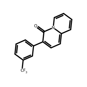 O=c1c(-c2cccc(C(F)(F)F)c2)ccc2ccccn12